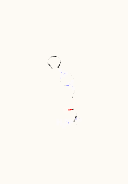 C/C(N)=C/C(=O)OCCN1CCN(c2ccccc2)CC1